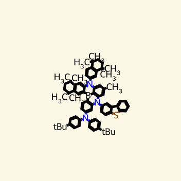 Cc1cc2c3c(c1)N(c1ccc4c(c1)C(C)(C)CCC4(C)C)c1cc4c(cc1B3c1ccc(N(c3ccc(C(C)(C)C)cc3)c3ccc(C(C)(C)C)cc3)cc1N2c1ccc2sc3ccccc3c2c1)C(C)(C)CCC4(C)C